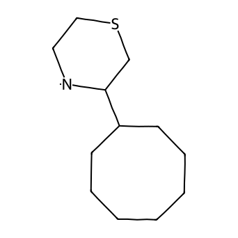 C1CCCC(C2CSCC[N]2)CCC1